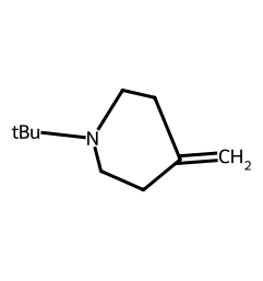 C=C1CCN(C(C)(C)C)CC1